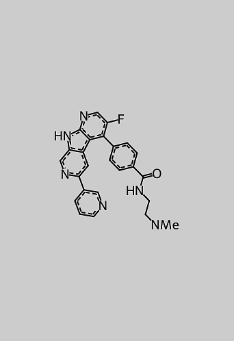 CNCCNC(=O)c1ccc(-c2c(F)cnc3[nH]c4cnc(-c5cccnc5)cc4c23)cc1